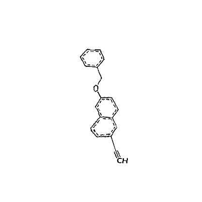 C#Cc1ccc2cc(OCc3ccccc3)ccc2c1